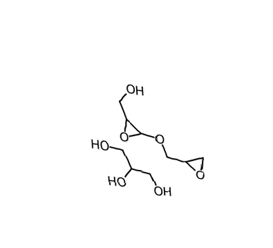 OCC(O)CO.OCC1OC1OCC1CO1